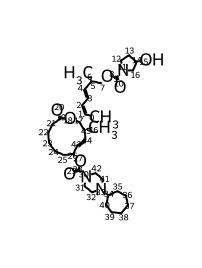 C/C(=C\C=C\[C@@H](C)COC(=O)N1CC[C@@H](O)C1)[C@H]1OC(=O)CCCCC[C@H](OC(=O)N2CCN(C3CCCCCC3)CC2)/C=C/[C@@H]1C